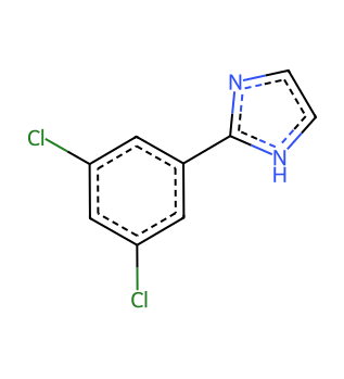 Clc1cc(Cl)cc(-c2ncc[nH]2)c1